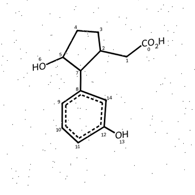 O=C(O)CC1CCC(O)C1c1cccc(O)c1